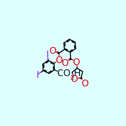 O=C1CC(OC(=O)c2ccccc2C(=O)Oc2c(I)cc(I)cc2C(=O)O)CO1